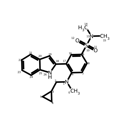 CN(CC1CC1)c1ccc(S(=O)(=O)N(C)C)cc1-c1cc2ccccc2[nH]1